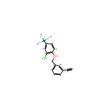 C#Cc1cccc(COc2ccc(C(F)(F)F)cc2Cl)c1